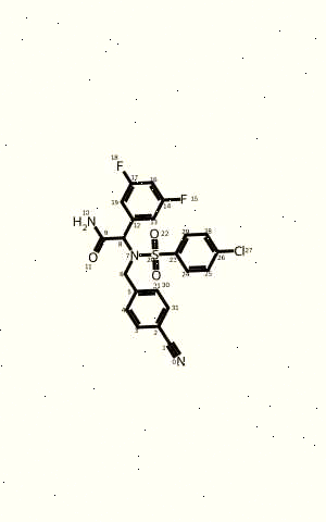 N#Cc1ccc(CN(C(C(N)=O)c2cc(F)cc(F)c2)S(=O)(=O)c2ccc(Cl)cc2)cc1